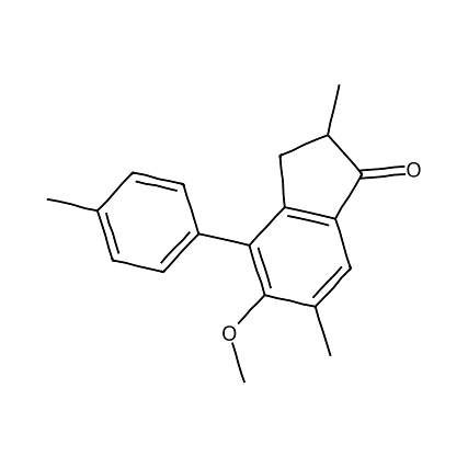 COc1c(C)cc2c(c1-c1ccc(C)cc1)CC(C)C2=O